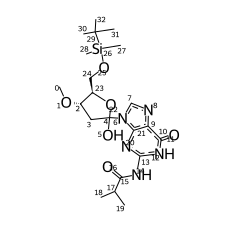 CO[C@H]1CC(O)(n2cnc3c(=O)[nH]c(NC(=O)C(C)C)nc32)O[C@@H]1CO[Si](C)(C)C(C)(C)C